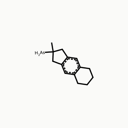 CC1([AsH2])Cc2cc3c(cc2C1)CCCC3